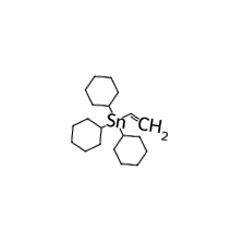 C=[CH][Sn]([CH]1CCCCC1)([CH]1CCCCC1)[CH]1CCCCC1